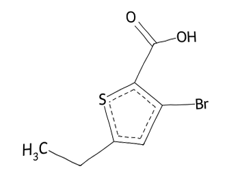 CCc1cc(Br)c(C(=O)O)s1